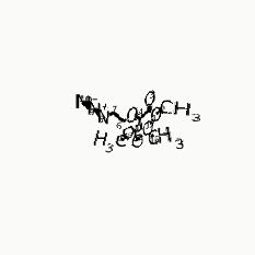 COC(=O)C(OCCN=[N+]=[N-])P(=O)(OC)OC